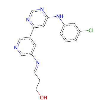 OCCC=Nc1cncc(-c2cc(Nc3cccc(Cl)c3)ncn2)c1